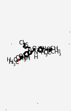 CC(C)(C)CC(=O)Nc1ccc2c(c1)cc(C(=O)Nc1ccc(NC(=O)OC(C)(C)C)cc1)n2Cc1ccc(Cl)s1